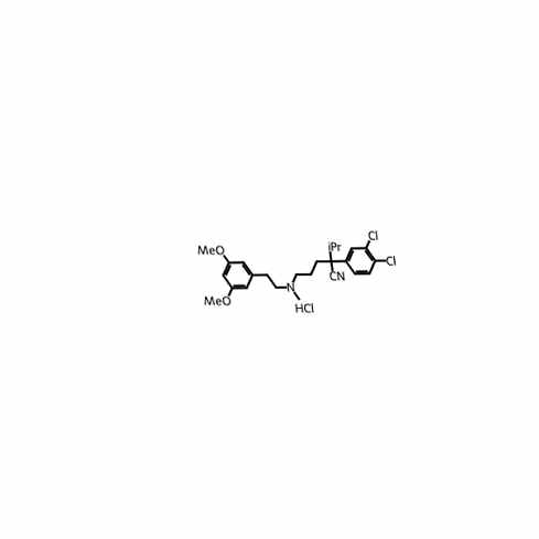 COc1cc(CCN(C)CCCC(C#N)(c2ccc(Cl)c(Cl)c2)C(C)C)cc(OC)c1.Cl